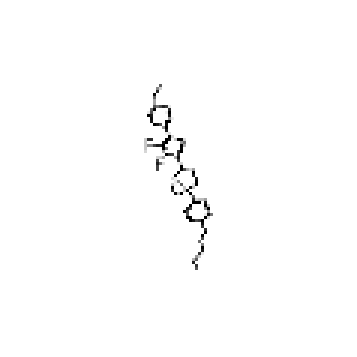 CCCCCc1ccc(C2CCC(c3ccc(-c4ccc(CC)cc4)c(F)c3F)CO2)cc1